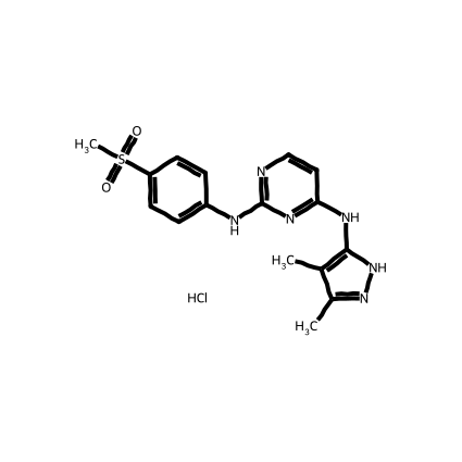 Cc1n[nH]c(Nc2ccnc(Nc3ccc(S(C)(=O)=O)cc3)n2)c1C.Cl